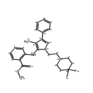 COC(=O)c1ccncc1Nc1c(C)c(-c2ccccc2)nn1CCN1CCC(F)(F)CC1